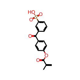 C=C(C)C(=O)Oc1ccc(C(=O)c2cccc(S(=O)(=O)O)c2)cc1